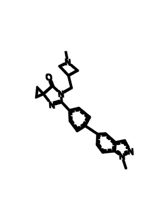 CN1CC(CN2C(=O)C3(CC3)N=C2c2ccc(-c3ccc4c(cnn4C)c3)cc2)C1